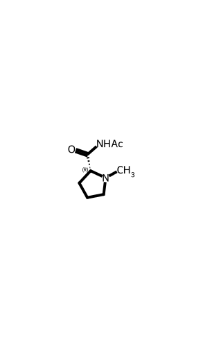 CC(=O)NC(=O)[C@H]1CCCN1C